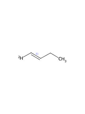 [2H]/C=C/CC